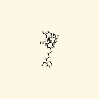 CC[Si](CC)(CC)CCCCc1cc(O)c2c(c1)OC(C)(C)[C@@H]1CCC(C)=C[C@@H]21